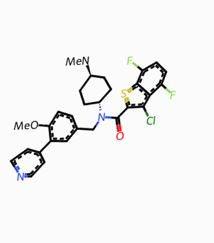 CN[C@H]1CC[C@H](N(Cc2ccc(OC)c(-c3ccncc3)c2)C(=O)c2sc3c(F)ccc(F)c3c2Cl)CC1